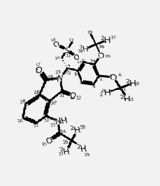 [2H]C([2H])([2H])Oc1ccc([C@@H](CS(C)(=O)=O)N2C(=O)c3cccc(NC(=O)C([2H])([2H])[2H])c3C2=O)cc1OC([2H])([2H])C